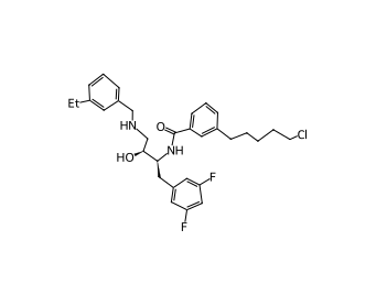 CCc1cccc(CNC[C@H](O)[C@H](Cc2cc(F)cc(F)c2)NC(=O)c2cccc(CCCCCCl)c2)c1